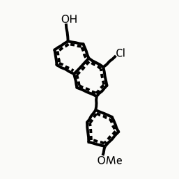 COc1ccc(-c2cc(Cl)c3cc(O)ccc3c2)cc1